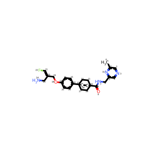 Cc1cncc(CNC(=O)C23CCC(c4ccc(OC/C(=C/F)CN)cc4)(CC2)CC3)n1